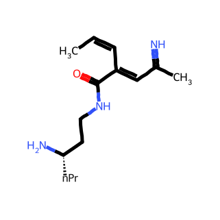 C/C=C\C(=C/C(C)=N)C(=O)NCC[C@@H](N)CCC